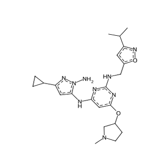 CC(C)c1cc(CNc2nc(Nc3cc(C4CC4)nn3N)cc(OC3CCN(C)C3)n2)on1